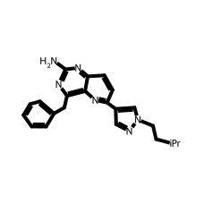 CC(C)CCn1cc(-c2ccc3nc(N)nc(Cc4ccccc4)c3n2)cn1